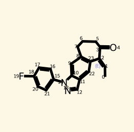 C/C=C1/C(=O)CCCc2cc3c(cnn3-c3ccc(F)cc3)cc21